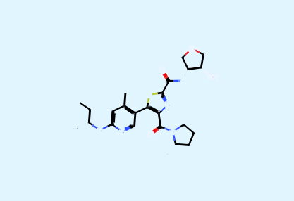 CC[C@@H](C)Nc1cc(C)c(-c2sc(C(=O)N[C@@H]3COC[C@@H]3O)nc2C(=O)N2CCC[C@@H]2C)cn1